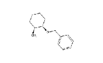 C[C@H]1CCCC[C@H]1OCc1ccccc1